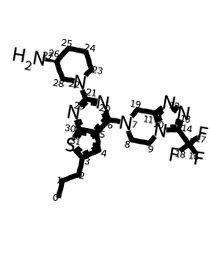 CCCc1cc2c(N3CCn4c(nnc4C(F)(F)F)C3)nc(N3CCC[C@H](N)C3)nc2s1